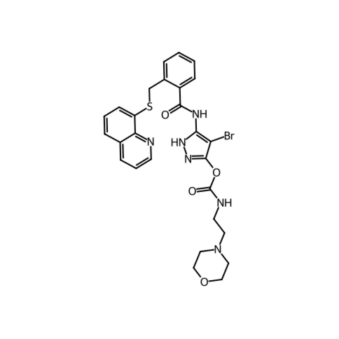 O=C(NCCN1CCOCC1)Oc1n[nH]c(NC(=O)c2ccccc2CSc2cccc3cccnc23)c1Br